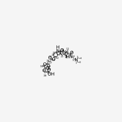 CCN(CC)CCNC(=O)c1c(C)[nH]c(/C=C2\C(=O)Nc3ccc(OC(=O)CCC(=O)O[C@@H](C)C(=O)O[C@@H](C)C(=O)O)cc32)c1C